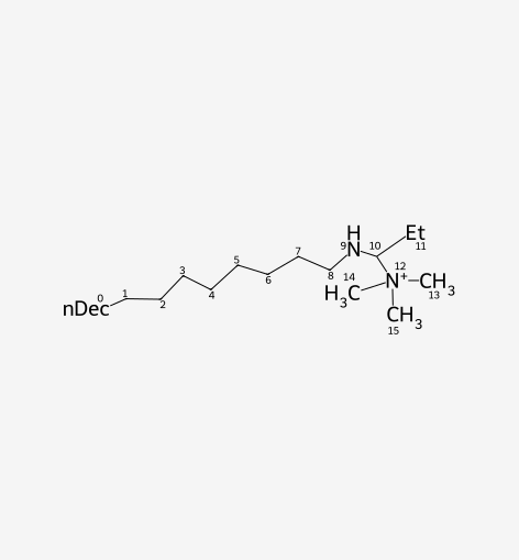 CCCCCCCCCCCCCCCCCCNC(CC)[N+](C)(C)C